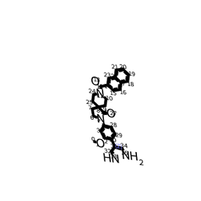 COc1cc(N2CCC3(CCN(C(=O)c4ccc5ccccc5c4)CC3)C2=O)ccc1/C(C=N)=C/N